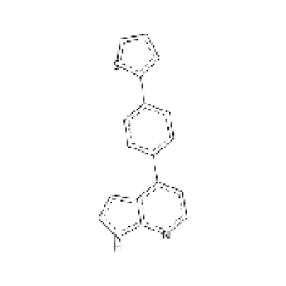 c1csc(-c2ccc(-c3ccnc4[nH]ccc34)cc2)c1